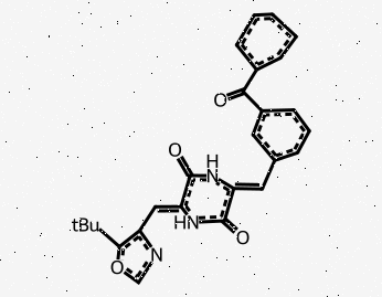 CC(C)(C)c1ocnc1/C=c1\[nH]c(=O)/c(=C/c2cccc(C(=O)c3ccccc3)c2)[nH]c1=O